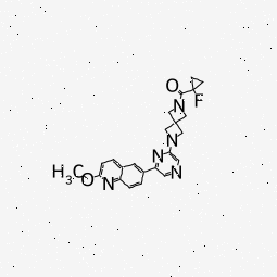 COc1ccc2cc(-c3cncc(N4CC5(CN(C(=O)C6(F)CC6)C5)C4)n3)ccc2n1